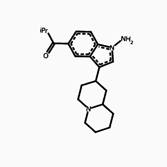 CC(C)C(=O)c1ccc2c(c1)c(C1CCN3CCCCC3C1)cn2N